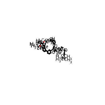 C=C/C(=C(\N=C/C)[C@H](C)OC)c1c2c3cc(ccc3n1CC)-c1cccc(c1)C[C@H](NC(=O)[C@H](C(C)C)N1CC[C@]3(CCN(C(=O)C#CC(C)(C)N(C)C)C3)C1=O)C(=O)N1CCC[C@H](N1)C(=O)OCC(C)(C)C2